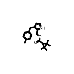 Cc1ccc(Cc2cc[nH]c2COC(=O)C2C(C)(C)C2(C)C)cc1